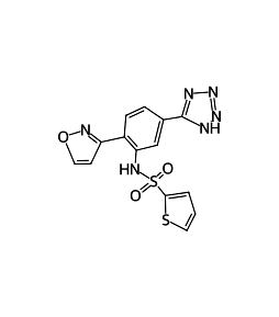 O=S(=O)(Nc1cc(-c2nnn[nH]2)ccc1-c1ccon1)c1cccs1